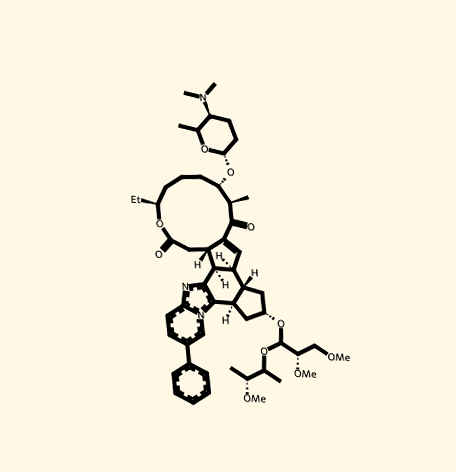 CC[C@H]1CCC[C@H](O[C@H]2CC[C@H](N(C)C)C(C)O2)[C@@H](C)C(=O)C2=C[C@H]3[C@@H]4C[C@H](OC(OC(C)[C@@H](C)OC)[C@H](COC)OC)C[C@H]4c4c(nc5ccc(-c6ccccc6)cn45)[C@H]3[C@@H]2CC(=O)O1